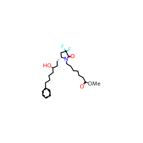 COC(=O)CCCCCCN1C(=O)C(F)(F)C[C@H]1CCC(O)CCCCc1ccccc1